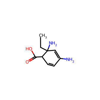 CCC1(N)C=C(N)C=CC1C(=O)O